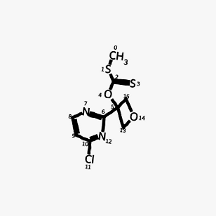 CSC(=S)OC1(c2nccc(Cl)n2)COC1